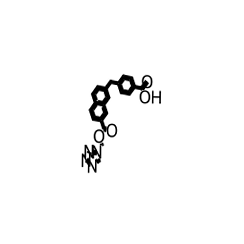 O=C(O)c1ccc(Cc2ccc3ccc(C(=O)OCn4cnnn4)cc3c2)cc1